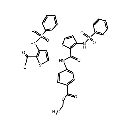 CCOC(=O)c1ccc(NC(=O)c2sccc2NS(=O)(=O)c2ccccc2)cc1.O=C(O)c1sccc1NS(=O)(=O)c1ccccc1